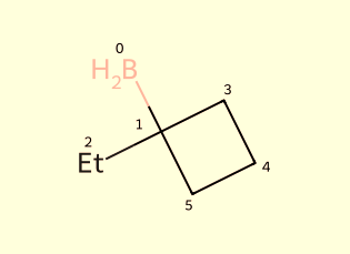 BC1(CC)CCC1